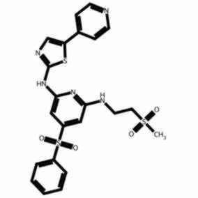 CS(=O)(=O)CCNc1cc(S(=O)(=O)c2ccccc2)cc(Nc2ncc(-c3ccncc3)s2)n1